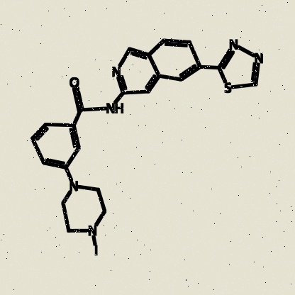 O=C(Nc1cc2cc(-c3nncs3)ccc2cn1)c1cccc(N2CCN(I)CC2)c1